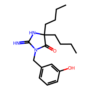 CCCCC1(CCCC)NC(=N)N(Cc2cccc(O)c2)C1=O